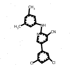 Cc1cc(C)cc(Nc2ncc(-c3cc(Cl)cc(Cl)c3)cc2C#N)c1